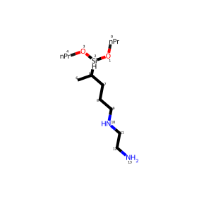 CCCO[SiH](OCCC)C(C)CCCNCCN